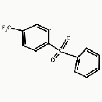 O=S(=O)(c1[c]cc(C(F)(F)F)cc1)c1ccccc1